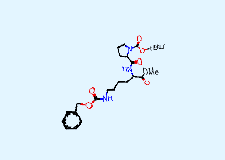 COC(=O)C(CCCCNC(=O)OCc1ccccc1)NC(=O)C1CCCN1C(=O)OC(C)(C)C